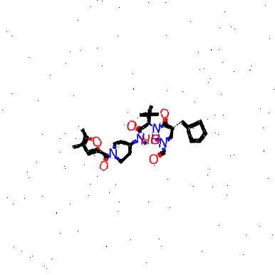 Cc1cc(C(=O)N2CCC(N(C)C(=O)[C@@H](NC(=O)[C@H](CC3CCCC3)CN(O)C=O)C(C)(C)C)CC2)oc1C